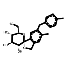 Cc1ccc(Cc2cc3c(cc2C)CO[C@]32S[C@H](CO)[C@@H](O)[C@H](O)[C@H]2O)cc1